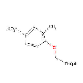 CCCCCCCCOc1ccc(S(=O)(=O)O)cc1C